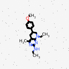 CCNc1nc(C)c2c(n1)N(CC)CC(c1ccc(OC)cc1)=C2